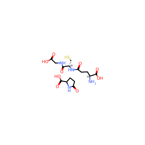 N[C@@H](CCC(=O)N[C@@H](CS)C(=O)NCC(=O)O)C(=O)O.O=C1CCC(C(=O)O)N1